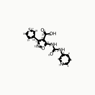 O=C(Nc1cccnc1)Nc1onc(-c2ccsc2)c1C(=O)O